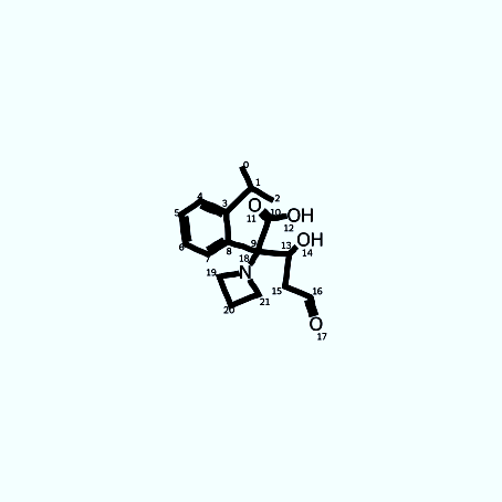 CC(C)c1ccccc1C(C(=O)O)(C(O)CC=O)N1CCC1